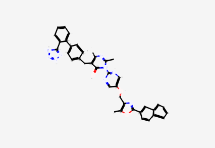 CCCCc1nc(C)n(-c2ncc(OCc3nc(-c4ccc5ccccc5c4)oc3C)cn2)c(=O)c1Cc1ccc(-c2ccccc2-c2nnn[nH]2)cc1